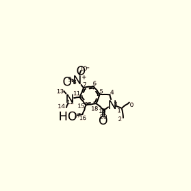 CC(C)N1Cc2cc([N+](=O)[O-])c(N(C)C)c(CO)c2C1=O